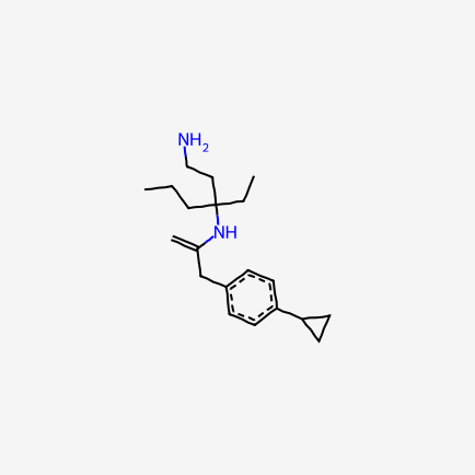 C=C(Cc1ccc(C2CC2)cc1)NC(CC)(CCC)CCN